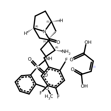 COc1ccccc1S(=O)(=O)NCC(=O)N1[C@@H]2CC[C@H]1C[C@H]([C@H](N)Cc1cc(F)c(F)cc1F)C2.O=C(O)/C=C\C(=O)O